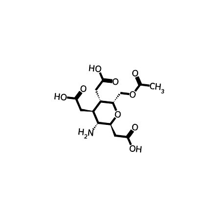 CC(=O)OC[C@@H]1O[C@@H](CC(=O)O)[C@H](N)[C@@H](CC(=O)O)[C@@H]1CC(=O)O